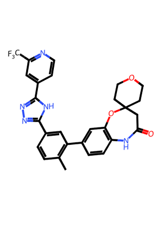 Cc1ccc(-c2nnc(-c3ccnc(C(F)(F)F)c3)[nH]2)cc1-c1ccc2c(c1)OC1(CCOCC1)CC(=O)N2